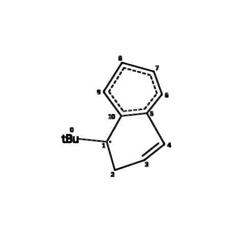 CC(C)(C)[C]1CC=Cc2ccccc21